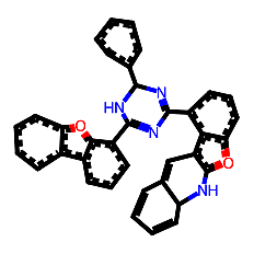 C1=CC2=Cc3c(oc4cccc(C5=NC(c6ccccc6)NC(c6cccc7c6oc6ccccc67)=N5)c34)NC2C=C1